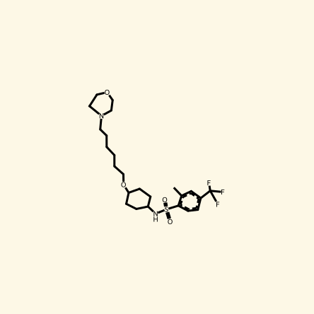 Cc1cc(C(F)(F)F)ccc1S(=O)(=O)NC1CCC(OCCCCCCN2CCOCC2)CC1